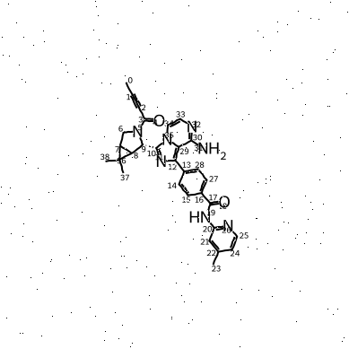 CC#CC(=O)N1CC2C([C@H]1c1nc(-c3ccc(C(=O)Nc4cc(C)ccn4)cc3)c3c(N)nccn13)C2(C)C